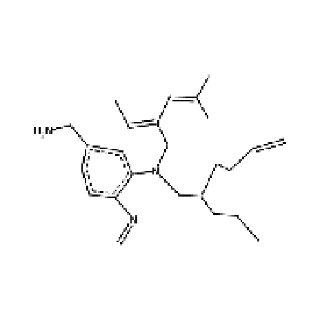 C=CCCC(CCC)CN(C/C(C=C(C)C)=C/C)c1cc(CN)ccc1N=C